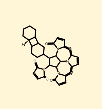 O=C1C=CC(=O)N1C1C(C2CCC3C(C2)C2CCCC[C@H]23)C(N2C(=O)C=CC2=O)C(N2C(=O)C=CC2=O)C1N1C(=O)C=CC1=O